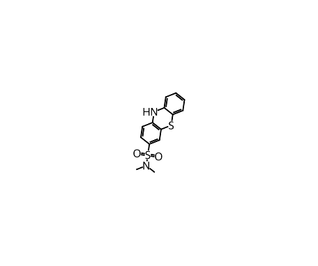 CN(C)S(=O)(=O)c1ccc2c(c1)Sc1ccccc1N2